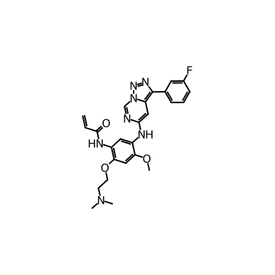 C=CC(=O)Nc1cc(Nc2cc3c(-c4cccc(F)c4)nnn3cn2)c(OC)cc1OCCN(C)C